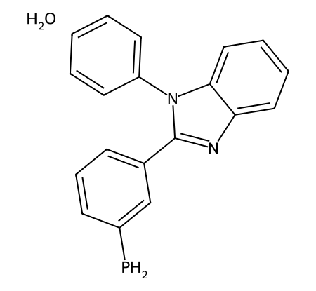 O.Pc1cccc(-c2nc3ccccc3n2-c2ccccc2)c1